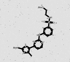 CNc1nc(C)c(-c2ccnc(Nc3cccc(S(=O)(=O)NCCOC)c3)n2)s1